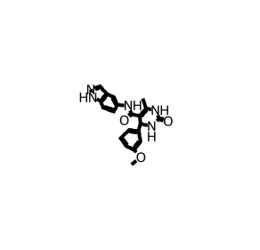 COc1cccc(C2NC(=O)NC(C)=C2C(=O)Nc2ccc3[nH]ncc3c2)c1